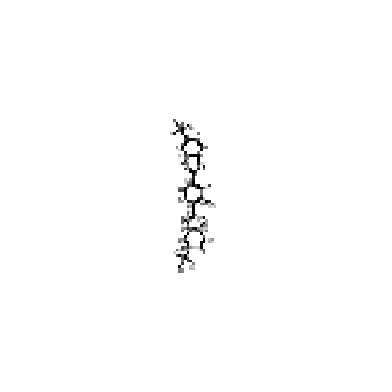 CC(C)(C)c1ccc2oc(-c3ccc(-c4nc5cc(C(C)(C)C)ccc5o4)c(S)c3)nc2c1